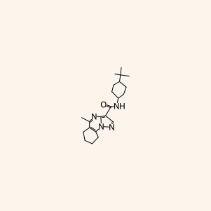 Cc1nc2c(C(=O)NC3CCC(C(C)(C)C)CC3)cnn2c2c1CCCC2